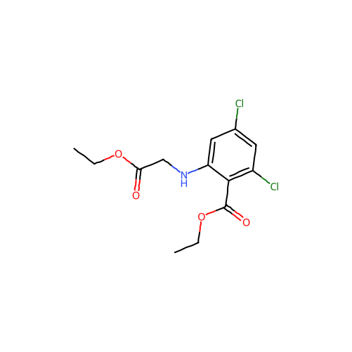 CCOC(=O)CNc1cc(Cl)cc(Cl)c1C(=O)OCC